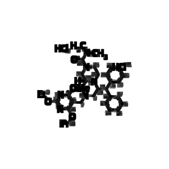 CCOc1nc(OC)c(CN2CC(C(c3ccccc3)c3ccccc3)N3CCN(C(=O)N(C)C)C[C@H]3C2)c(OC(C)C)n1.Cl.Cl